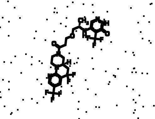 C[C@@H](COCCC(=O)N1CCN2c3ncc(C(F)(F)F)cc3C(F)(F)C[C@@H]2C1)Nc1cn[nH]c(=O)c1C(F)(F)F